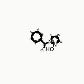 O=CC(c1ccccc1)n1cccn1